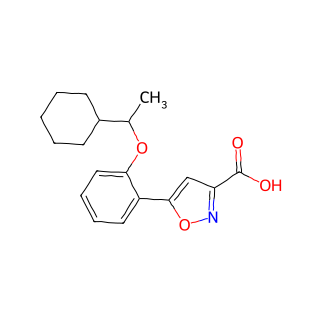 CC(Oc1ccccc1-c1cc(C(=O)O)no1)C1CCCCC1